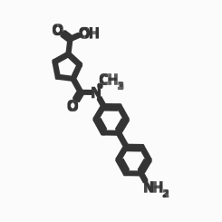 CN(C(=O)C1CCC(C(=O)O)C1)c1ccc(-c2ccc(N)cc2)cc1